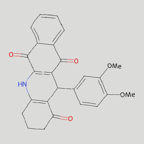 COc1ccc(C2C3=C(CCCC3=O)NC3=C2C(=O)c2ccccc2C3=O)cc1OC